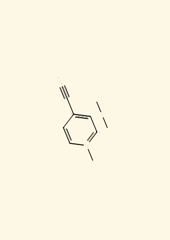 C[n+]1ccc(C#N)cc1.I[I-]I